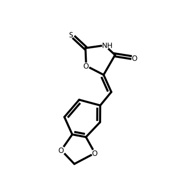 O=C1NC(=S)O/C1=C\c1ccc2c(c1)OCO2